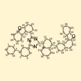 c1ccc(-c2cccc(-c3nc(-c4ccc(-c5ccc6ccc7oc8ccccc8c7c6c5)c5ccccc45)nc(-c4cccc5oc6ccccc6c45)n3)c2)cc1